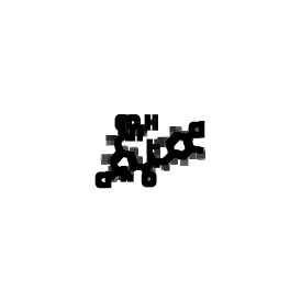 Cc1cc(CNC(=O)c2cc(CNC(=O)O)cc(Cl)n2)ccc1Cl